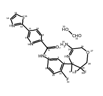 CC1(c2cc(NC(=O)c3ccc(-c4nccs4)cn3)ccc2F)N=C(N)COCC1(F)F.O=CO